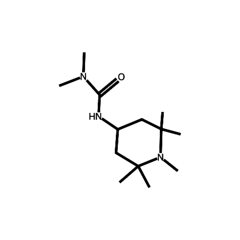 CN(C)C(=O)NC1CC(C)(C)N(C)C(C)(C)C1